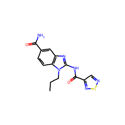 CCCn1c(NC(=O)c2cnsn2)nc2cc(C(N)=O)ccc21